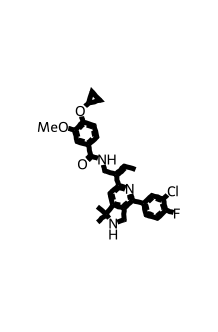 C/C=C(/CNC(=O)c1ccc(OC2CC2)c(OC)c1)c1cc2c(c(-c3ccc(F)c(Cl)c3)n1)CNC2(C)C